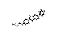 O=C(O)CCC1CCN(C(=O)CN2CCN(c3ccncc3)CC2)CC1